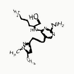 CCCCC(CO)Nc1nc(N)ncc1CCc1cc(C)n(C)n1